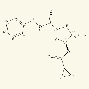 O=C(O[C@H]1CN(C(=O)OCc2ccccc2)C[C@@H]1F)C1CC1